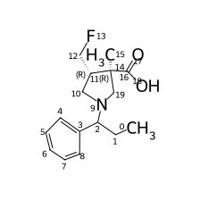 CCC(c1ccccc1)N1C[C@H](CF)[C@@](C)(C(=O)O)C1